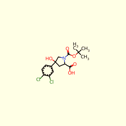 CC(C)(C)OC(=O)N1CC(O)(c2ccc(Cl)c(Cl)c2)CC1C(=O)O